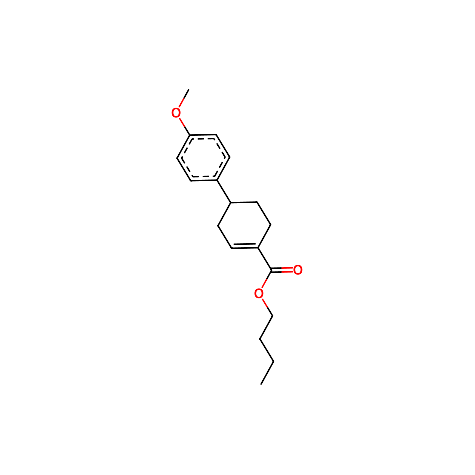 CCCCOC(=O)C1=CCC(c2ccc(OC)cc2)CC1